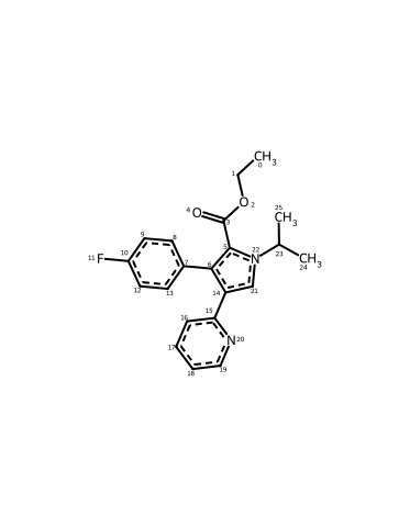 CCOC(=O)c1c(-c2ccc(F)cc2)c(-c2ccccn2)cn1C(C)C